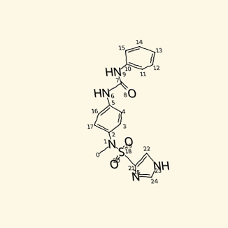 CN(c1ccc(NC(=O)Nc2ccccc2)cc1)S(=O)(=O)c1c[nH]cn1